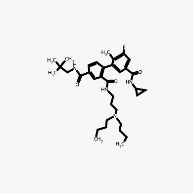 CCCCN(CCCC)CCCNC(=O)c1cc(C(=O)NCC(C)(C)C)ccc1-c1cc(C(=O)NC2CC2)cc(F)c1C